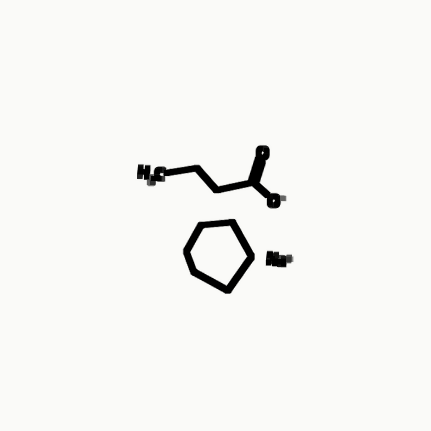 C1CCCCC1.CCCC(=O)[O-].[Na+]